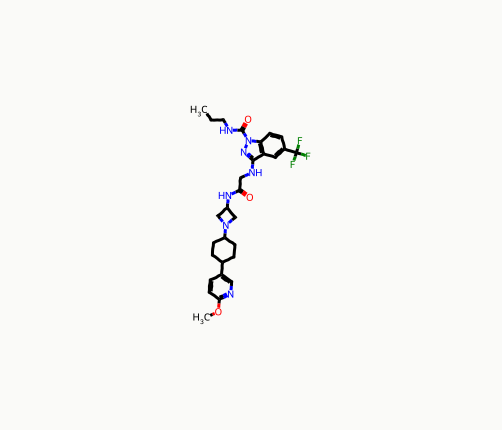 CCCNC(=O)n1nc(NCC(=O)NC2CN(C3CCC(c4ccc(OC)nc4)CC3)C2)c2cc(C(F)(F)F)ccc21